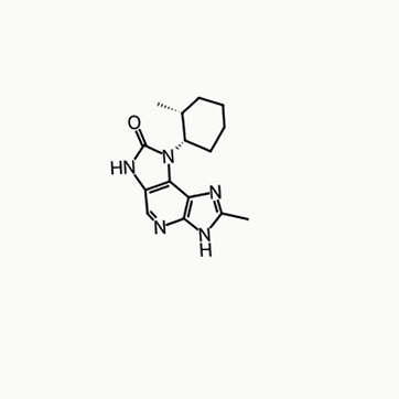 Cc1nc2c(ncc3[nH]c(=O)n([C@H]4CCCC[C@H]4C)c32)[nH]1